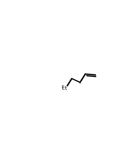 C=C[C]CCC